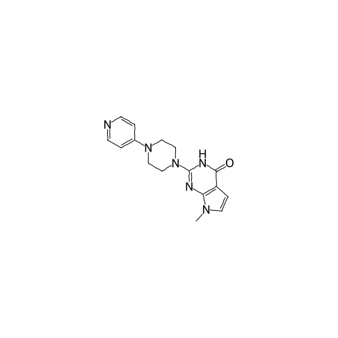 Cn1ccc2c(=O)[nH]c(N3CCN(c4ccncc4)CC3)nc21